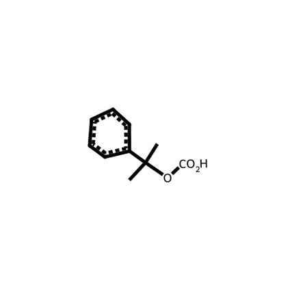 CC(C)(OC(=O)O)c1ccccc1